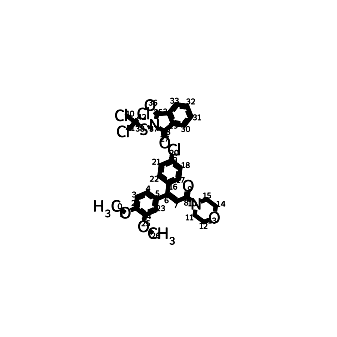 COc1ccc(/C(=C/C(=O)N2CCOCC2)c2ccc(Cl)cc2)cc1OC.O=C1c2ccccc2C(=O)N1SC(Cl)(Cl)Cl